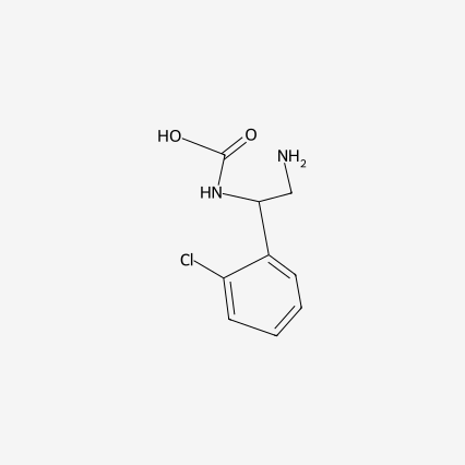 NCC(NC(=O)O)c1ccccc1Cl